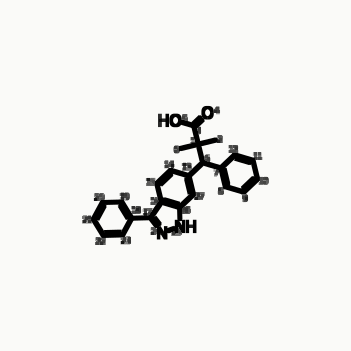 CC(C)(C(=O)O)C(c1ccccc1)c1ccc2c(-c3ccccc3)n[nH]c2c1